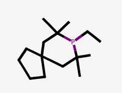 CCP1C(C)(C)CC2(CCCC2)CC1(C)C